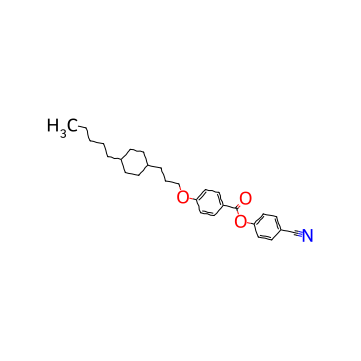 CCCCCC1CCC(CCCOc2ccc(C(=O)Oc3ccc(C#N)cc3)cc2)CC1